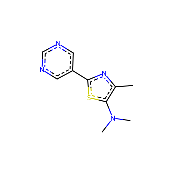 Cc1nc(-c2cncnc2)sc1N(C)C